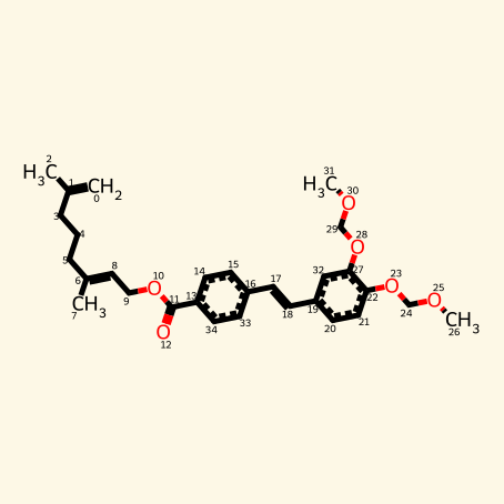 C=C(C)CCC/C(C)=C/COC(=O)c1ccc(/C=C/c2ccc(OCOC)c(OCOC)c2)cc1